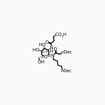 CCCCCCCCCCCCCCN(C(=O)CCCCCCCCCCC)[C@@H]1O[C@H](CO)[C@@H](O)[C@H](O)[C@H]1NC(=O)CCC(=O)O